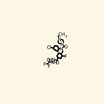 CCN1CCN(C(=O)N(Cc2ccc(C(=O)NNC(=O)C(F)F)cc2F)c2ccc(Cl)cc2)CC1